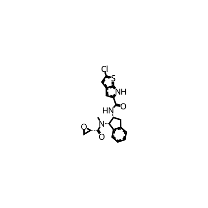 CN(C(=O)[C@@H]1CO1)[C@H]1c2ccccc2C[C@H]1NC(=O)c1cc2cc(Cl)sc2[nH]1